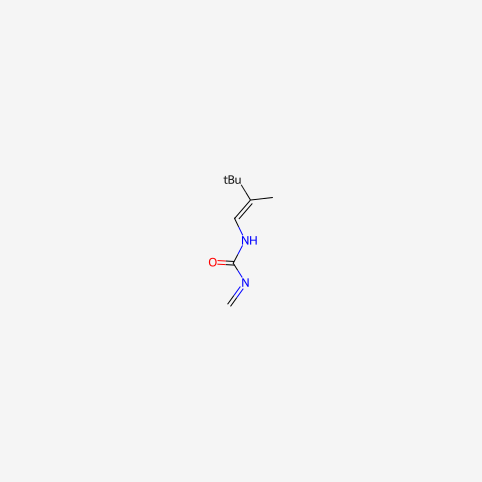 C=NC(=O)N/C=C(\C)C(C)(C)C